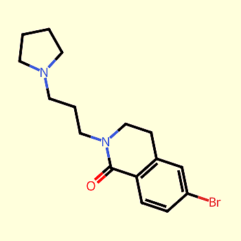 O=C1c2ccc(Br)cc2CCN1CCCN1CCCC1